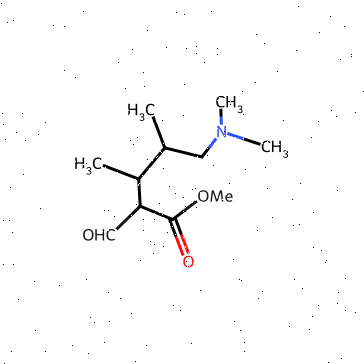 COC(=O)C(C=O)C(C)C(C)CN(C)C